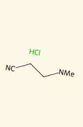 CNCCC#N.Cl